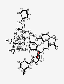 COCCCN1C(=O)COc2ccc(COC3CN(C(=O)OCc4ccccc4)CC(O[Si](C(C)C)(C(C)C)C(C)C)C3c3ccc(OC4CCN(c5cccc(F)c5)C4)cc3)cc21